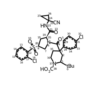 CC(C)(C)C1CC(C(=O)N2C[C@H](S(=O)(=O)c3ccccc3Cl)C[C@H]2C(=O)NC2(C#N)CC2)(c2ccc(Cl)cc2)CCN1C(=O)O